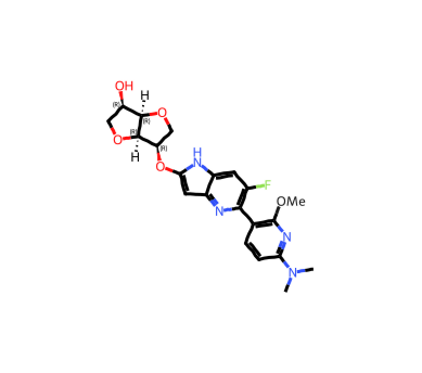 COc1nc(N(C)C)ccc1-c1nc2cc(O[C@@H]3CO[C@H]4[C@@H]3OC[C@H]4O)[nH]c2cc1F